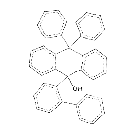 OC1(c2ccccc2-c2ccccc2)c2ccccc2C(c2ccccc2)(c2ccccc2)c2ccccc21